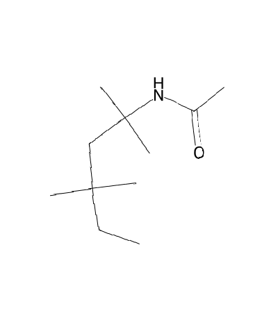 CCC(C)(C)CC(C)(C)NC(C)=O